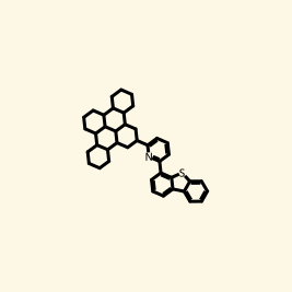 c1cc(-c2cccc3c2sc2ccccc23)nc(C2CC3C4CCCCC4C4CCCC5C6CCCCC6C(C2)C3C45)c1